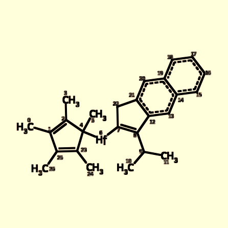 CC1=C(C)[C](C)([Hf][C]2=C(C(C)C)c3cc4ccccc4cc3C2)C(C)=C1C